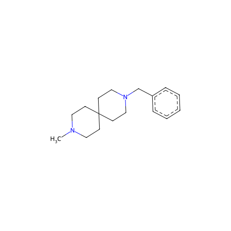 CN1CCC2(CC1)CCN(Cc1ccccc1)CC2